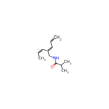 C=C/C=C(\C=C/C)CNC(=O)C(C)C